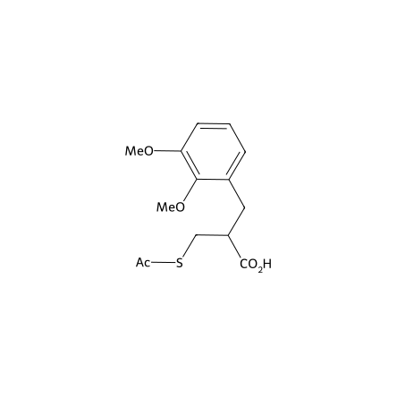 COc1cccc(CC(CSC(C)=O)C(=O)O)c1OC